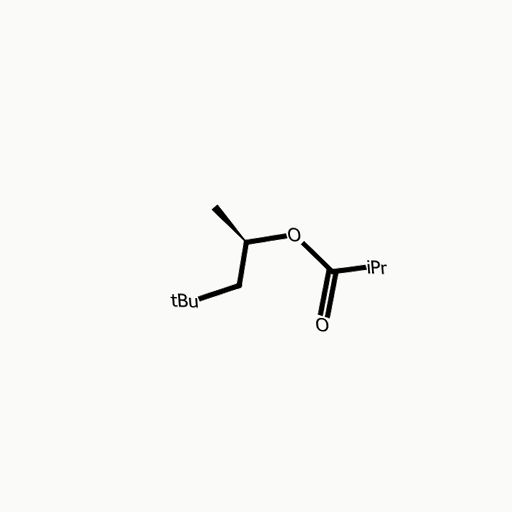 CC(C)C(=O)O[C@H](C)CC(C)(C)C